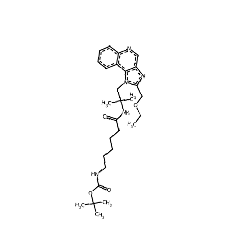 CCOCc1nc2cnc3ccccc3c2n1CC(C)(C)NC(=O)CCCCCNC(=O)OC(C)(C)C